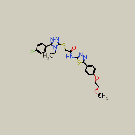 CCn1c(SCC(=O)Nc2nnc(-c3ccc(OCCOC)cc3)s2)nnc1-c1ccc(F)cc1